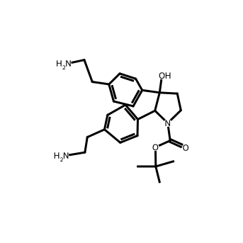 CC(C)(C)OC(=O)N1CCC(O)(c2ccc(CCN)cc2)C1c1ccc(CCN)cc1